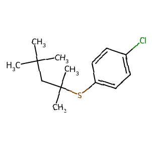 CC(C)(C)CC(C)(C)Sc1ccc(Cl)cc1